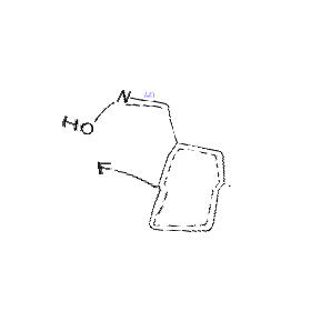 O/N=C\c1c[c]ccc1F